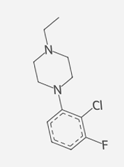 CCN1CCN(c2cccc(F)c2Cl)CC1